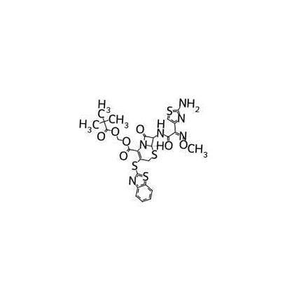 CO/N=C(\C(=O)NC1C(=O)N2C(C(=O)OCOC(=O)C(C)(C)C)=C(Sc3nc4ccccc4s3)CS[C@H]12)c1csc(N)n1